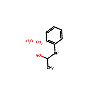 O.O.[CH2]C(O)Bc1ccccc1